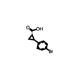 O=C(O)[C@H]1CC1c1ccc(Br)cc1